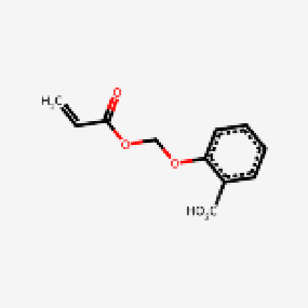 C=CC(=O)OCOc1ccccc1C(=O)O